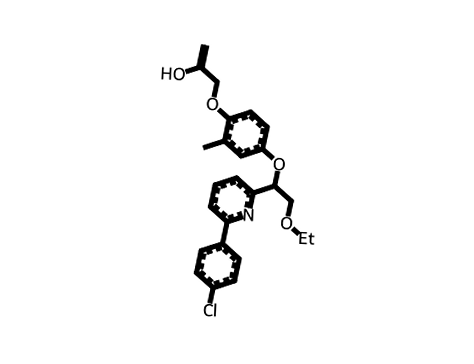 C=C(O)COc1ccc(OC(COCC)c2cccc(-c3ccc(Cl)cc3)n2)cc1C